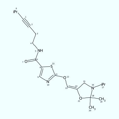 CC(C)C#CCCNC(=O)c1cnc(OC=C2CN(C(C)C)C(C)(C)O2)s1